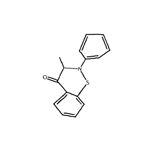 CC1C(=O)c2ccccc2SN1c1ccccc1